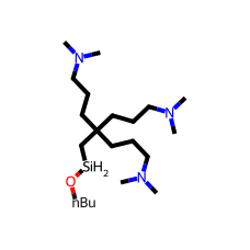 CCCCO[SiH2]CC(CCCN(C)C)(CCCN(C)C)CCCN(C)C